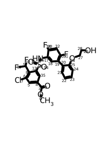 COC(=O)c1cc(Cl)c(C(F)F)c(S(=O)(=O)Nc2cc(-c3ccccc3OCCO)c(F)cc2F)c1